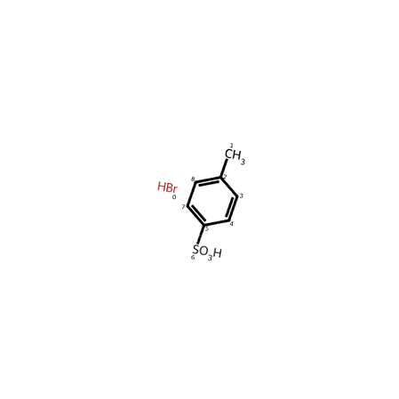 Br.Cc1ccc(S(=O)(=O)O)cc1